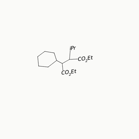 CCOC(=O)C(C(C)C)C(C(=O)OCC)C1CCCCC1